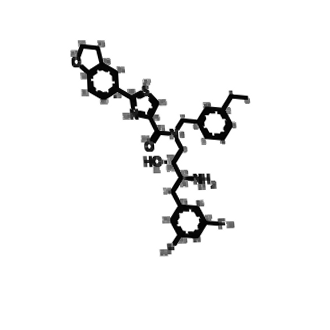 CCc1cccc(CN(C[C@@H](O)[C@@H](N)Cc2cc(F)cc(F)c2)C(=O)c2csc(-c3ccc4c(c3)CCO4)n2)c1